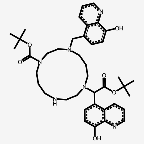 CC(C)(C)OC(=O)C(c1ccc(O)c2ncccc12)N1CCCN(Cc2ccc(O)c3ncccc23)CCN(C(=O)OC(C)(C)C)CCCNCC1